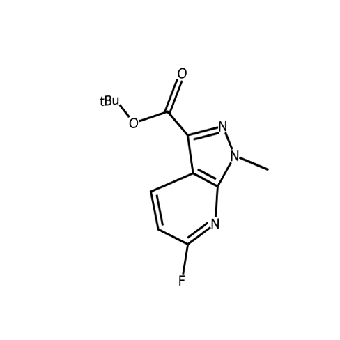 Cn1nc(C(=O)OC(C)(C)C)c2ccc(F)nc21